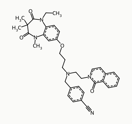 CCN1C(=O)C(C)(C)C(=O)N(C)c2cc(OCCCN(CCn3ccc4ccccc4c3=O)Cc3ccc(C#N)cc3)ccc21